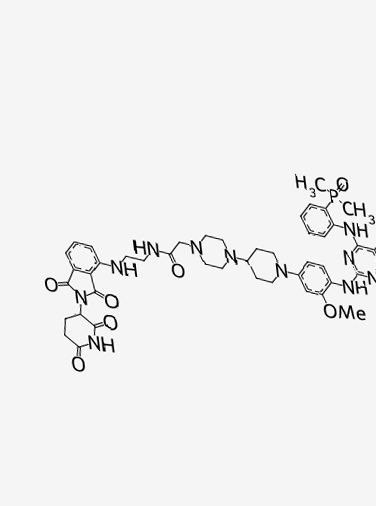 COc1cc(N2CCC(N3CCN(CC(=O)NCCNc4cccc5c4C(=O)N(C4CCC(=O)NC4=O)C5=O)CC3)CC2)ccc1Nc1ncc(Cl)c(Nc2ccccc2P(C)(C)=O)n1